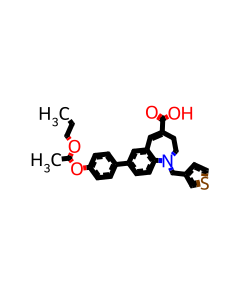 CCCOC(C)Oc1ccc(-c2ccc3c(c2)C=C(C(=O)O)CCN3Cc2ccsc2)cc1